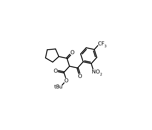 CC(C)(C)OC(=O)C(C(=O)c1ccc(C(F)(F)F)cc1[N+](=O)[O-])C(=O)C1CCCC1